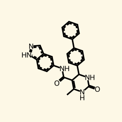 CC1=C(C(=O)Nc2ccc3[nH]ncc3c2)C(c2ccc(-c3ccccc3)cc2)NC(=O)N1